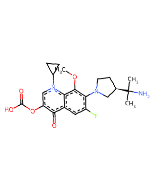 COc1c(N2CC[C@@H](C(C)(C)N)C2)c(F)cc2c(=O)c(OC(=O)O)cn(C3CC3)c12